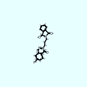 O=C1c2ccccc2C(=O)N1CCCn1nnc2cc(F)ccc2c1=O